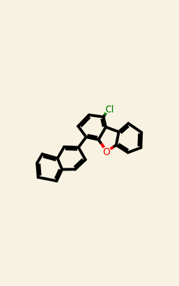 Clc1ccc(-c2ccc3ccccc3c2)c2oc3ccccc3c12